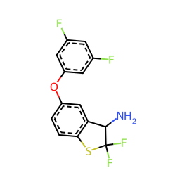 NC1c2cc(Oc3cc(F)cc(F)c3)ccc2SC1(F)F